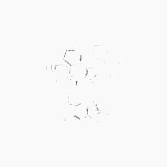 COC[C@]1(O)CCCC[C@H]1n1cnc(C(=O)N2CCNC[C@H]2CCOc2cc3nc(C)oc3cc2F)c1-c1ccccc1